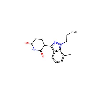 COCCn1nc(C2CCC(=O)NC2=O)c2cccc(C)c21